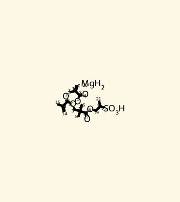 C=C(C)C(=O)OCC(C)(COC(=O)C(=C)C)C(=O)OCC(C)S(=O)(=O)O.[MgH2]